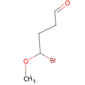 COC(Br)CCC=O